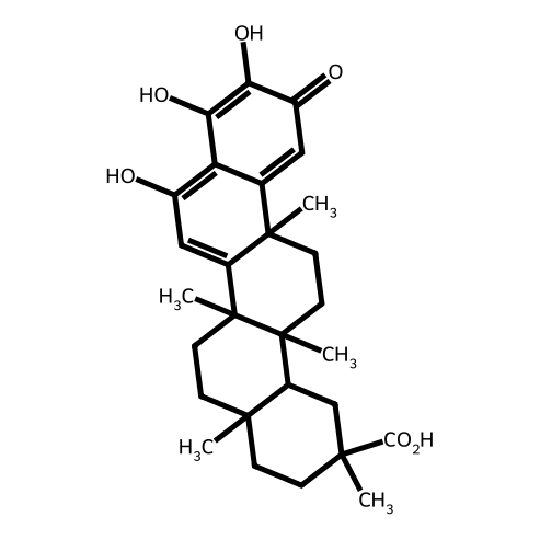 CC1(C(=O)O)CCC2(C)CCC3(C)C4=CC(O)=C5C(=CC(=O)C(O)=C5O)C4(C)CCC3(C)C2C1